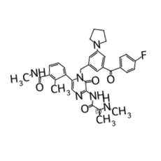 CNC(=O)c1cccc(-c2cnc(NC(=O)[C@H](C)NC)c(=O)n2Cc2cc(C(=O)c3ccc(F)cc3)cc(N3CCCC3)c2)c1C